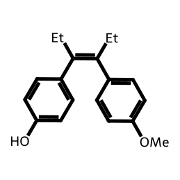 CCC(=C(CC)c1ccc(OC)cc1)c1ccc(O)cc1